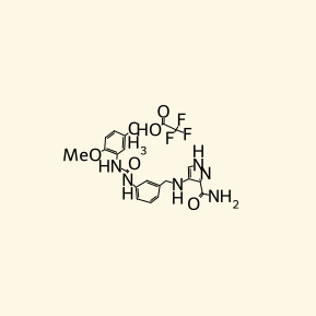 COc1ccc(C)cc1NC(=O)Nc1cccc(CNc2c[nH]nc2C(N)=O)c1.O=C(O)C(F)(F)F